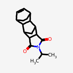 CC(C)N1C(=O)C2C3CC(C2C1=O)C1C2C=CC(CC2)C31